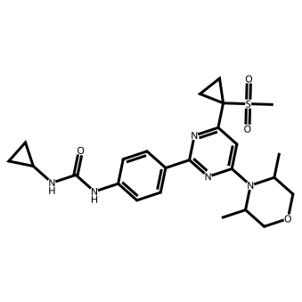 CC1COCC(C)N1c1cc(C2(S(C)(=O)=O)CC2)nc(-c2ccc(NC(=O)NC3CC3)cc2)n1